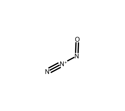 N#[N+]N=O